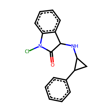 O=C1C(NC2CC2c2ccccc2)c2ccccc2N1Cl